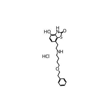 Cl.O=c1[nH]c2c(O)ccc(CCNCCCCOCCc3ccccc3)c2s1